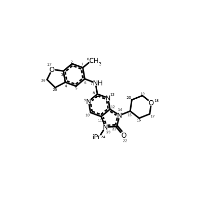 Cc1cc2c(cc1Nc1ncc3c(n1)n(C1CCOCC1)c(=O)n3C(C)C)CCO2